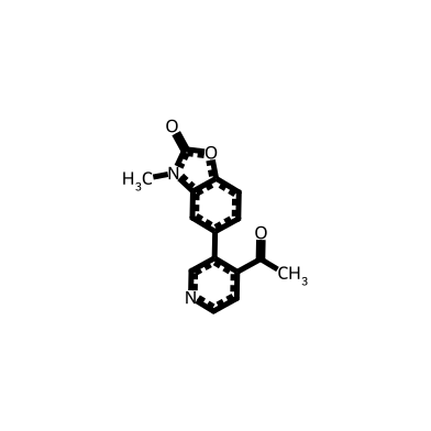 CC(=O)c1ccncc1-c1ccc2oc(=O)n(C)c2c1